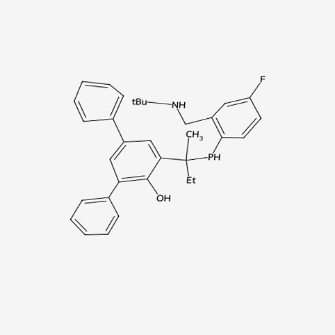 CCC(C)(Pc1ccc(F)cc1CNC(C)(C)C)c1cc(-c2ccccc2)cc(-c2ccccc2)c1O